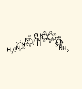 CN1CCN(c2ccc(C(=O)Nc3cc4cc(-c5cnc(N)s5)ccc4cn3)cn2)CC1